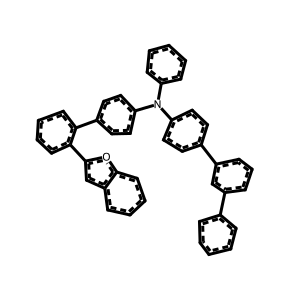 c1ccc(-c2cccc(-c3ccc(N(c4ccccc4)c4ccc(-c5ccccc5-c5cc6ccccc6o5)cc4)cc3)c2)cc1